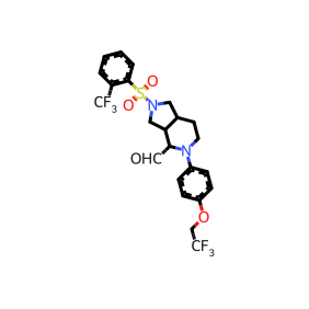 O=CC1C2CN(S(=O)(=O)c3ccccc3C(F)(F)F)CC2CCN1c1ccc(OCC(F)(F)F)cc1